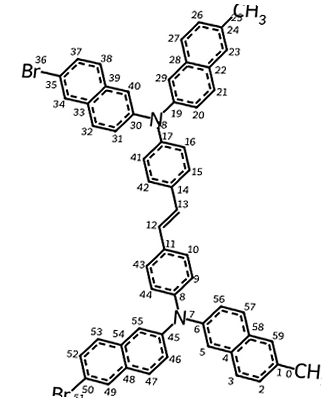 Cc1ccc2cc(N(c3ccc(/C=C/c4ccc(N(c5ccc6cc(C)ccc6c5)c5ccc6cc(Br)ccc6c5)cc4)cc3)c3ccc4cc(Br)ccc4c3)ccc2c1